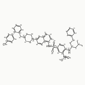 CC(C)CC(CSc1ccccc1)Nc1ccc(S(=O)(=O)Nc2ncnc3cc(N4CCN(Cc5ccccc5-c5ccc(Cl)cc5)CC4)ccc23)cc1[N+](=O)[O-]